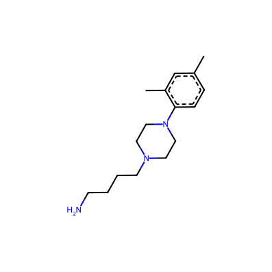 Cc1ccc(N2CCN(CCCCN)CC2)c(C)c1